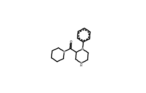 O=C(C1CNCCN1c1ccccc1)N1CCCCC1